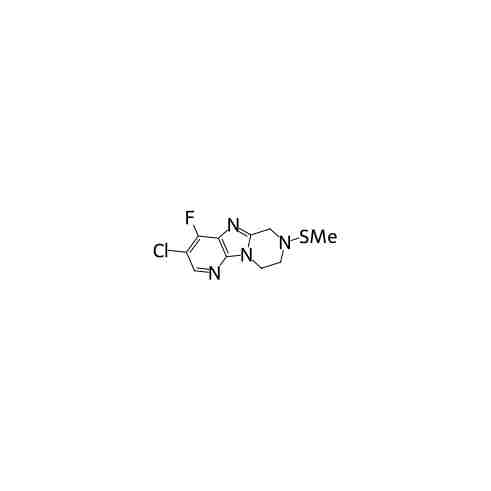 CSN1CCn2c(nc3c(F)c(Cl)cnc32)C1